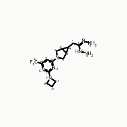 N/N=C(/CC1C2CN(c3cc(C(F)(F)F)nc(N4CCC4)n3)CC12)NN